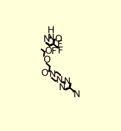 CC(COCCC(=O)N1CCN(c2ncc(C#N)cn2)CC1)Oc1cn[nH]c(=O)c1C(F)(F)F